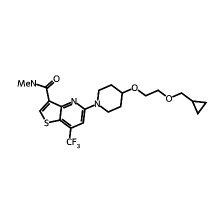 CNC(=O)c1csc2c(C(F)(F)F)cc(N3CCC(OCCOCC4CC4)CC3)nc12